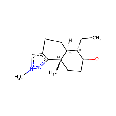 CC[C@@H]1C(=O)CC[C@]2(C)c3nn(C)cc3CC[C@@H]12